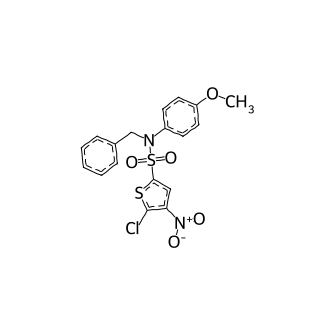 COc1ccc(N(Cc2ccccc2)S(=O)(=O)c2cc([N+](=O)[O-])c(Cl)s2)cc1